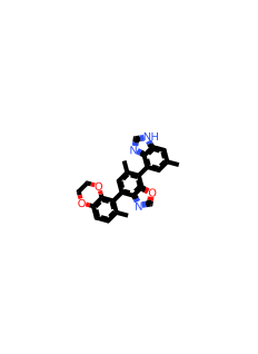 Cc1cc(-c2c(C)cc(-c3c(C)ccc4c3OCCO4)c3ncoc23)c2nc[nH]c2c1